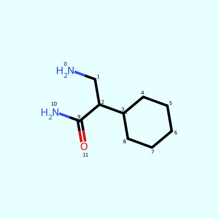 NCC([C]1CCCCC1)C(N)=O